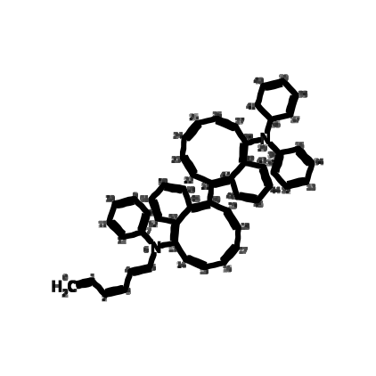 C=C/C=C\C=C\N(c1ccccc1)c1ccccccc(-c2ccccccc(N(c3ccccc3)C3C=CC=CC3)c3ccccc23)c2ccccc12